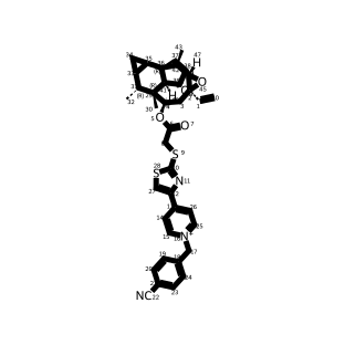 C=C[C@]12C[C@@H](OC(=O)CSc3nc(-c4cc[n+](Cc5ccc(C#N)cc5)cc4)cs3)[C@]3(C)[C@H](C)C4CC4[C@]4(CCC(=O)[C@H]43)[C@@H](C)[C@@H]1O2